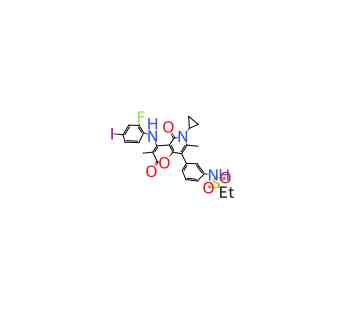 CCS(=O)(=O)Nc1cccc(-c2c(C)n(C3CC3)c(=O)c3c(Nc4ccc(I)cc4F)c(C)c(=O)oc23)c1